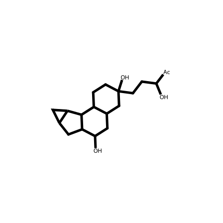 CC(=O)C(O)CCC1(O)CCC2C(CC(O)C3CC4CC4C32)C1